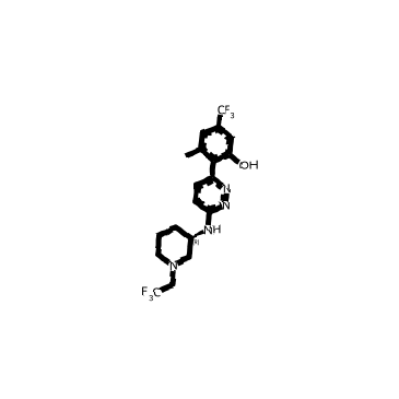 Cc1cc(C(F)(F)F)cc(O)c1-c1ccc(N[C@@H]2CCCN(CC(F)(F)F)C2)nn1